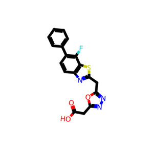 O=C(O)Cc1nnc(Cc2nc3ccc(-c4ccccc4)c(F)c3s2)o1